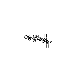 NC(CCC(=O)OC1CCCCC1)C(=O)OCc1ccc(CC(=O)Nc2cc(C3CC3)[nH]n2)cc1